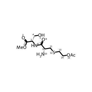 COC(=O)[C@H](CO)NC(=O)[C@@H](N)CSCCOC(C)=O